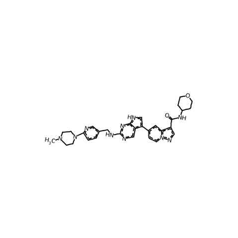 CN1CCN(c2ccc(CNc3ncc4c(-c5ccn6ncc(C(=O)NC7CCOCC7)c6c5)c[nH]c4n3)cn2)CC1